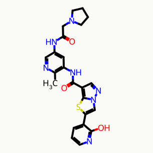 Cc1ncc(NC(=O)CN2CCCC2)cc1NC(=O)c1cnn2cc(-c3cccnc3O)sc12